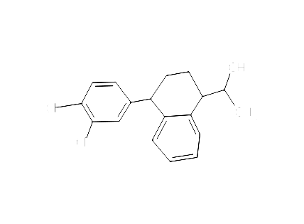 CC(C)C1CCC(c2ccc(Cl)c(Cl)c2)c2ccccc21